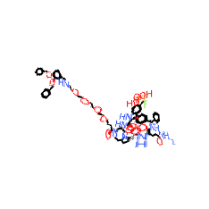 NC(=O)CCC(NC(=O)[C@@H]1CCC2CCN(C(=O)CCCOCCOCCOCCOCCNCc3ccc(OCc4ccccc4)c(OCc4ccccc4)c3)C[C@H](NC(=O)c3cc4cc(C(F)(F)P(=O)(O)O)ccc4[nH]3)C(=O)N21)C(=O)NC(c1ccccc1)c1ccccc1